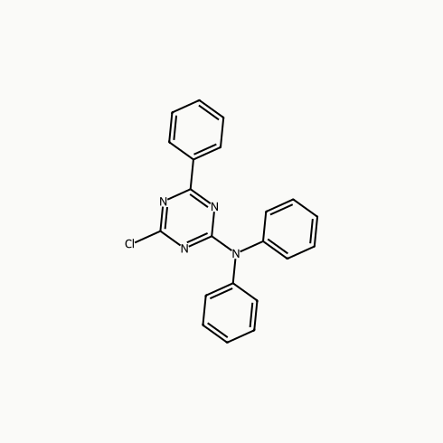 Clc1nc(-c2ccccc2)nc(N(c2ccccc2)c2ccccc2)n1